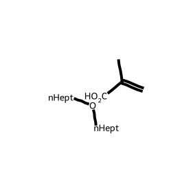 C=C(C)C(=O)O.CCCCCCCOCCCCCCC